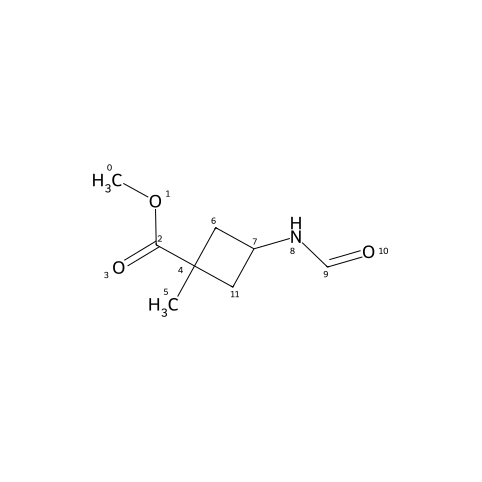 COC(=O)C1(C)CC(NC=O)C1